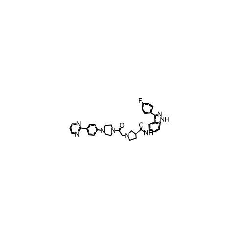 O=C(Nc1ccc2[nH]nc(-c3ccc(F)cc3)c2c1)[C@H]1CCN(CC(=O)N2CCN(c3ccc(-c4ncccn4)cc3)CC2)C1